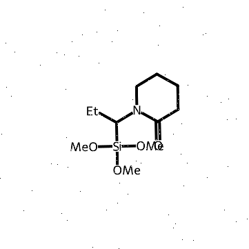 CCC(N1CCCCC1=O)[Si](OC)(OC)OC